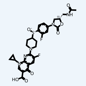 CC(=O)NC[C@H]1CN(c2ccc([S+]([O-])C3CCN(c4nc5c(cc4F)c(=O)c(C(=O)O)cn5C4CC4)CC3)c(F)c2)C(=O)O1